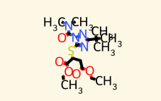 CCOC(=O)CC(Sc1nc(C(C)(C)C)nn1C(=O)N(C)C)C(=O)OCC